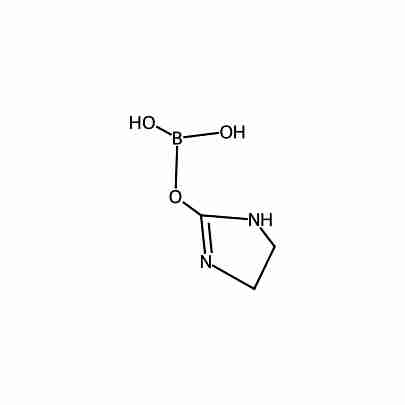 OB(O)OC1=NCCN1